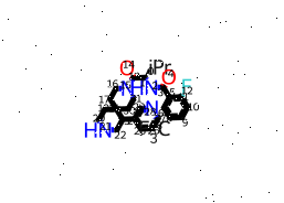 CC(C)[C@@H](NC(=O)c1cc(C(F)(F)F)ccc1F)C(=O)N1CCC2(CCNCC2c2cccnc2)CC1